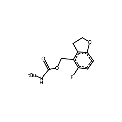 CC(C)(C)NC(=O)OCc1c(F)ccc2c1CCO2